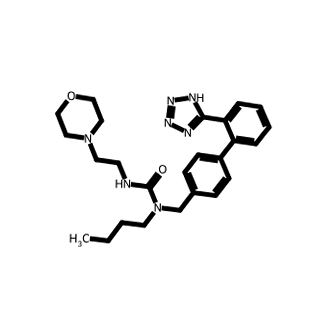 CCCCN(Cc1ccc(-c2ccccc2-c2nnn[nH]2)cc1)C(=O)NCCN1CCOCC1